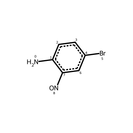 Nc1ccc(Br)cc1N=O